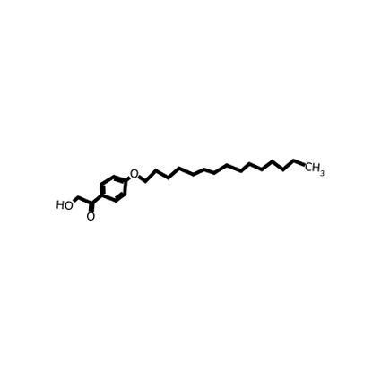 CCCCCCCCCCCCCCCOc1ccc(C(=O)CO)cc1